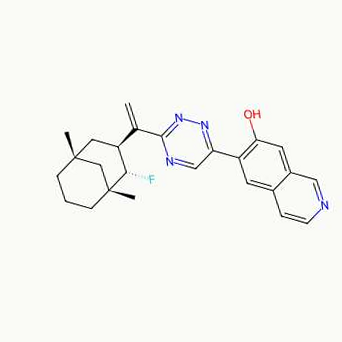 C=C(c1ncc(-c2cc3ccncc3cc2O)nn1)[C@@H]1C[C@@]2(C)CCC[C@](C)(C2)[C@H]1F